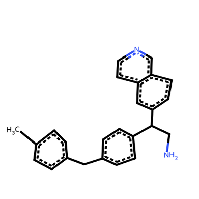 Cc1ccc(Cc2ccc(C(CN)c3ccc4cnccc4c3)cc2)cc1